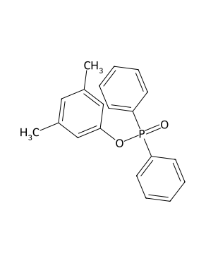 Cc1cc(C)cc(OP(=O)(c2ccccc2)c2ccccc2)c1